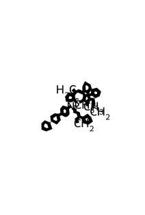 C=C/C=C\C1=C(C)C2=C(/C=C\C(=C)c3cccc(N(/C(C)=C/C=C(\C=C)c4ccccc4)c4c#cc(C5=CC[C@H](C6=CC=CCC6)C=C5)cc4)c3SC2)C1(C1=CCCC=C1)c1ccccc1